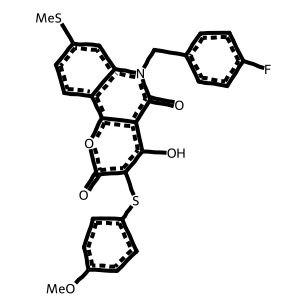 COc1ccc(Sc2c(O)c3c(=O)n(Cc4ccc(F)cc4)c4cc(SC)ccc4c3oc2=O)cc1